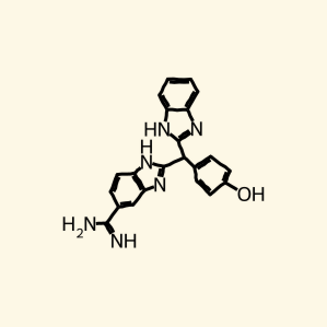 N=C(N)c1ccc2[nH]c(C(c3ccc(O)cc3)c3nc4ccccc4[nH]3)nc2c1